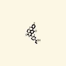 C=CC(O)N1CCN(c2nc(=O)n3c4c(c(-c5ccc(F)cc5F)c(Cl)cc24)SCC3)[C@@H](C)C1